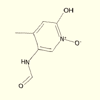 Cc1cc(O)[n+]([O-])cc1NC=O